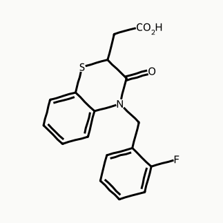 O=C(O)CC1Sc2ccccc2N(Cc2ccccc2F)C1=O